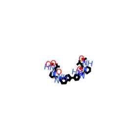 COC(=O)N[C@H](C(=O)N1CCC[C@H]1c1nc2ccc3cc(-c4ccc5nc([C@@H]6CCCCN6C(=O)[C@@H](NC(C)=O)C(C)C)[nH]c5c4)ccc3c2[nH]1)C(C)C